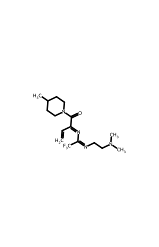 C=C/C(=N\C(=N/CCN(C)C)C(F)(F)F)C(=O)N1CCC(C)CC1